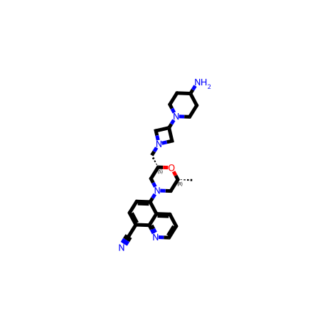 C[C@@H]1CN(c2ccc(C#N)c3ncccc23)C[C@H](CN2CC(N3CCC(N)CC3)C2)O1